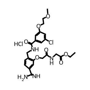 CCOC(=O)CNC(=O)COc1cc(C(=N)N)ccc1CNC(=O)c1cc(Cl)cc(OCCOC)c1.Cl